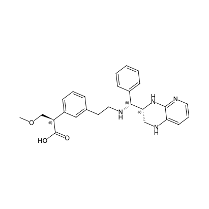 COC[C@H](C(=O)O)c1cccc(CCN[C@H](c2ccccc2)[C@H]2CNc3cccnc3N2)c1